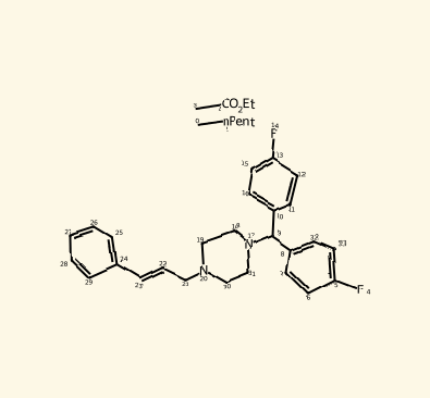 CCCCCC.CCOC(C)=O.Fc1ccc(C(c2ccc(F)cc2)N2CCN(C/C=C/c3ccccc3)CC2)cc1